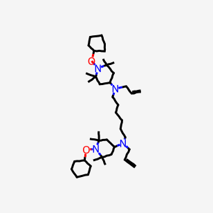 C=CCN(CCCCCCN(CC=C)C1CC(C)(C)N(OC2CCCCC2)C(C)(C)C1)C1CC(C)(C)N(OC2CCCCC2)C(C)(C)C1